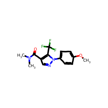 COc1ccc(-n2ncc(C(=O)N(C)C)c2C(F)(F)F)cc1